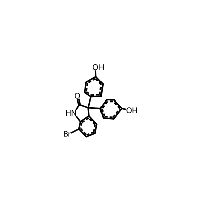 O=C1Nc2c(Br)cccc2C1(c1ccc(O)cc1)c1ccc(O)cc1